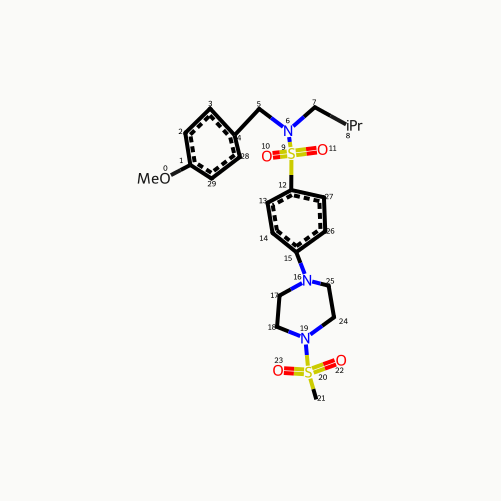 COc1ccc(CN(CC(C)C)S(=O)(=O)c2ccc(N3CCN(S(C)(=O)=O)CC3)cc2)cc1